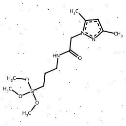 CO[Si](CCCNC(=O)Cn1nc(C)cc1C)(OC)OC